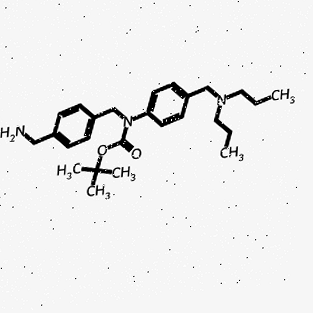 CCCN(CCC)Cc1ccc(N(Cc2ccc(CN)cc2)C(=O)OC(C)(C)C)cc1